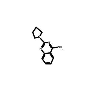 Nc1nc(N2CCCC2)nc2ccccc12